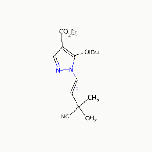 CCOC(=O)c1cnn(/C=C/C(C)(C)C#N)c1OCC(C)C